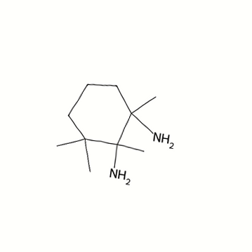 CC1(C)CCCC(C)(N)C1(C)N